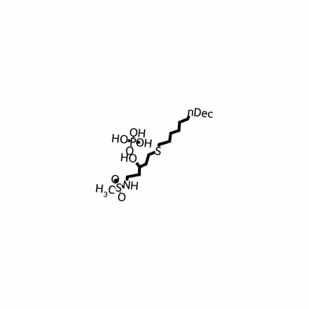 CCCCCCCCCCCCCCCCSCCC(O)CCNS(C)(=O)=O.O=P(O)(O)O